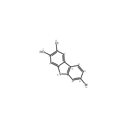 CCc1cc2c(cc1O)sc1cc(Br)ccc12